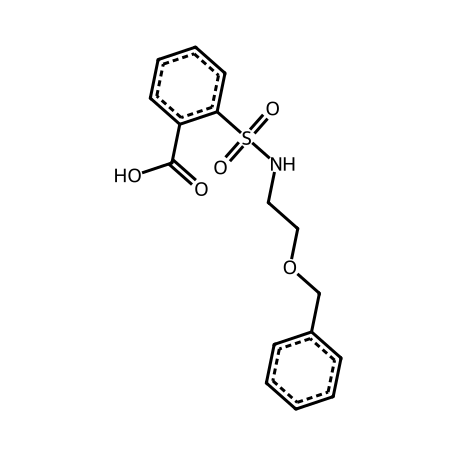 O=C(O)c1ccccc1S(=O)(=O)NCCOCc1ccccc1